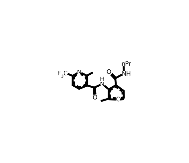 CCCNC(=O)c1cccc(C)c1NC(=O)c1ccc(C(F)(F)F)nc1C